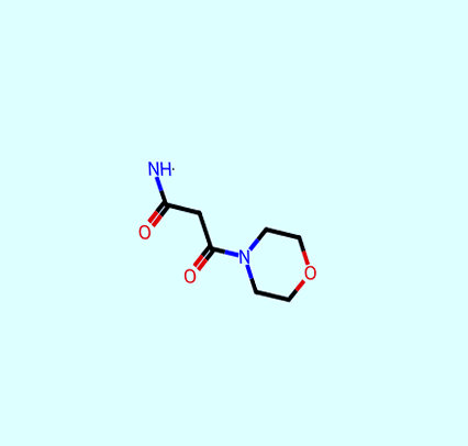 [NH]C(=O)CC(=O)N1CCOCC1